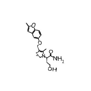 CC1=C(COc2ccc3oc(C)cc3c2)SCN1C(CCO)C(N)=O